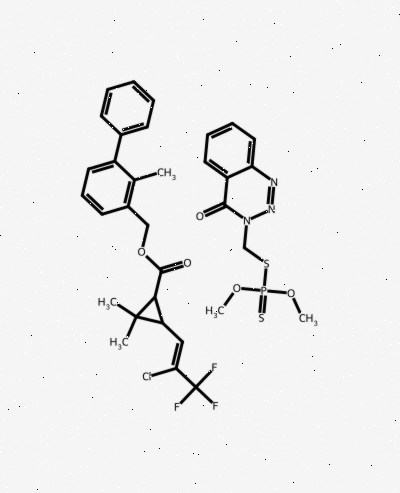 COP(=S)(OC)SCn1nnc2ccccc2c1=O.Cc1c(COC(=O)C2C(/C=C(\Cl)C(F)(F)F)C2(C)C)cccc1-c1ccccc1